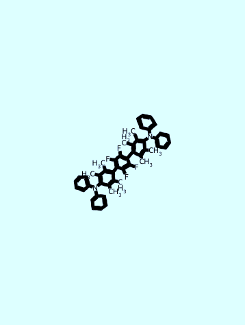 Cc1c(C)c(N(c2ccccc2)c2ccccc2)c(C)c(C)c1-c1c(F)c(F)c(-c2c(C)c(C)c(N(c3ccccc3)c3ccccc3)c(C)c2C)c(F)c1F